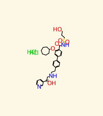 Cl.Cl.O=C(NS(=O)(=O)CCCO)c1ccc(-c2ccc(CCNC[C@@H](O)c3cccnc3)cc2)cc1OC1CCCCCC1